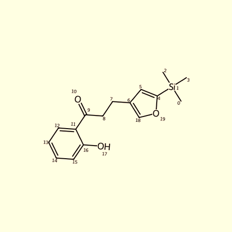 C[Si](C)(C)c1cc(CCC(=O)c2ccccc2O)co1